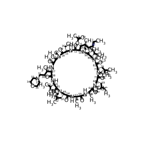 C/C=C/C[C@@H](C)[C@@H](OC(C)=O)[C@H]1C(=O)N[C@@H](CC)C(=O)N(C)[C@H](C)C(=O)N[C@@H]([C@H](C)CCN2CCOCC2)C(=O)N[C@@H](C(C)C)C(=O)N(C)[C@@H](CC(C)C)C(=O)N[C@@H](C)C(=O)N[C@H](C)C(=O)N(C)[C@@H](CC(C)C)C(=O)N(C)[C@@H](CC(C)C)C(=O)N(C)[C@@H](C(C)C)C(=O)N1C